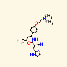 CCCC(NC(=O)/C(C#N)=C/c1ncc[nH]1)c1ccc(OCCN(C)C)cc1